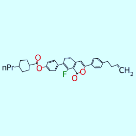 C=CCCc1ccc(-c2cc3ccc(-c4ccc(OC(=O)C5CCC(CCC)CC5)cc4)c(F)c3c(=O)o2)cc1